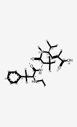 CCN[C@H](C(=O)N[C@H](C(=O)N(C)[C@H](/C=C(\C)C(=O)O)C(C)C)C(C)(C)C)C(C)(C)c1ccccc1